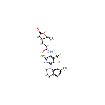 Cc1ccc2c(c1)N(c1cc(C(F)(F)F)c(NC(=O)CCC3CC(=O)OC3C)c(Cl)n1)CCC2